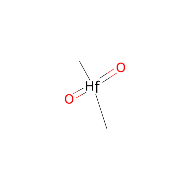 [CH3][Hf]([CH3])(=[O])=[O]